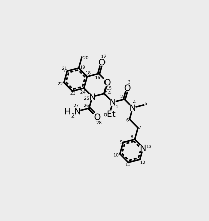 CCN(C(=O)N(C)CCc1ccccn1)C1OC(=O)c2c(C)[c]ccc2N1C(N)=O